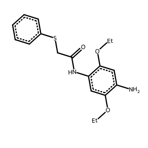 CCOc1cc(NC(=O)CSc2ccccc2)c(OCC)cc1N